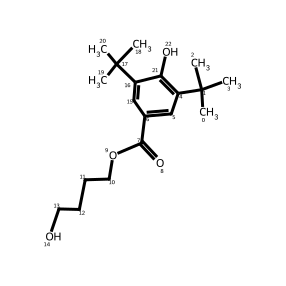 CC(C)(C)c1cc(C(=O)OCCCCO)cc(C(C)(C)C)c1O